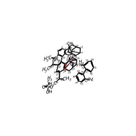 COc1ccc(OC)c(P(C23CC4CC(CC(C4)C2)C3)C23CC4CC(CC(C4)C2)C3)c1-c1c(C(C)C)cc(C(C)C)cc1C(C)C.CS(=O)(=O)O.Nc1ccccc1-c1cccc[c]1[Pd]